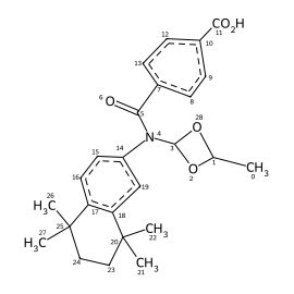 CC1OC(N(C(=O)c2ccc(C(=O)O)cc2)c2ccc3c(c2)C(C)(C)CCC3(C)C)O1